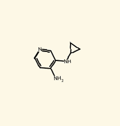 Nc1ccncc1NC1CC1